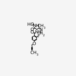 CC#CCOc1ccc(C(=O)N[C@H](C(=O)NO)[C@@H](C)N)c(F)c1